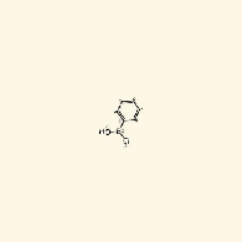 OB(Cl)c1ccccc1